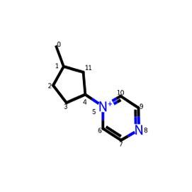 CC1CCC([n+]2ccncc2)C1